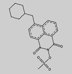 CS(=O)(=O)ON1C(=O)c2cccc3c(CC4CCCCC4)ccc(c23)C1=O